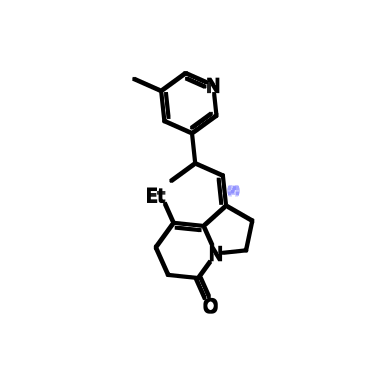 CCC1=C2/C(=C\C(C)c3cncc(C)c3)CCN2C(=O)CC1